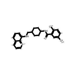 O=C(NC1CCC(CNc2cccc3cccnc23)CC1)c1cc(C(F)(F)F)ccc1Cl